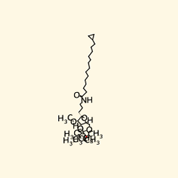 CO[C@@H]1[C@@H]2O[Si](C(C)(C)C)(C(C)(C)C)OC[C@H]2O[C@H]1CCCNC(=O)CCCCCCCCCCCCCC1CC1